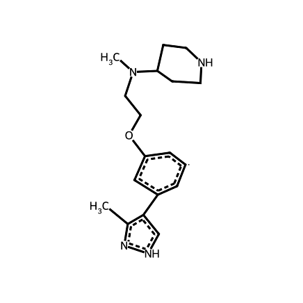 Cc1n[nH]cc1-c1c[c]cc(OCCN(C)C2CCNCC2)c1